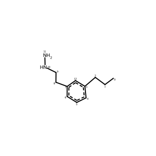 CCCc1cccc(CCNN)c1